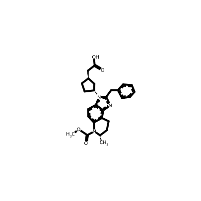 COC(=O)N1c2ccc3c(nc(Cc4ccccc4)n3[C@@H]3CC[C@@H](CC(=O)O)C3)c2CC[C@@H]1C